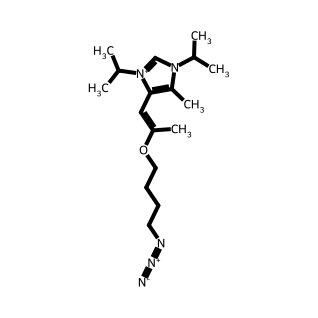 C/C(=C\c1c(C)n(C(C)C)c[n+]1C(C)C)OCCCCN=[N+]=[N-]